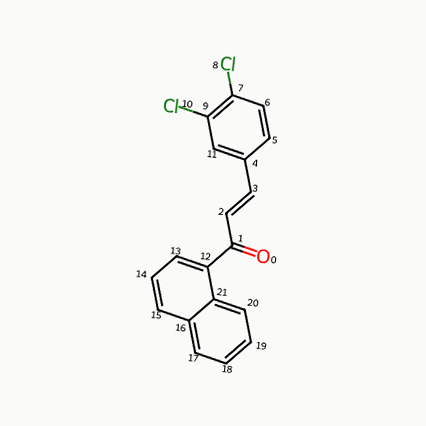 O=C(C=Cc1ccc(Cl)c(Cl)c1)c1cccc2ccccc12